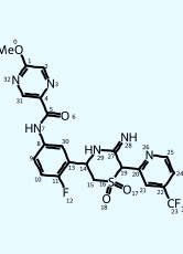 COc1cnc(C(=O)Nc2ccc(F)c(C3CS(=O)(=O)C(c4cc(C(F)(F)F)ccn4)C(=N)N3)c2)cn1